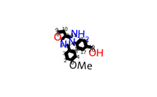 COc1ccc(C2N=c3occc3=C(N)N2c2ccc(CO)cc2)cc1